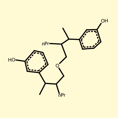 CCCC(COCC(CCC)C(C)c1cccc(O)c1)C(C)c1cccc(O)c1